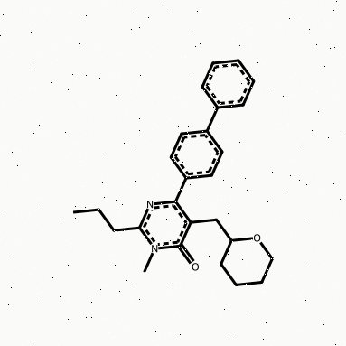 CCCc1nc(-c2ccc(-c3ccccc3)cc2)c(CC2CCCCO2)c(=O)n1C